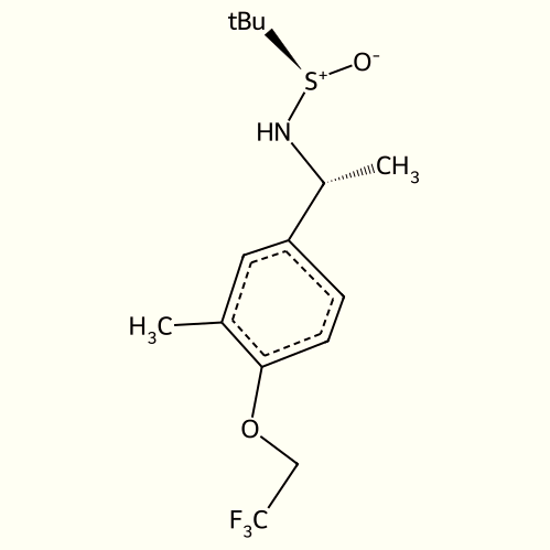 Cc1cc([C@@H](C)N[S@+]([O-])C(C)(C)C)ccc1OCC(F)(F)F